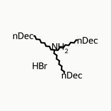 Br.CCCCCCCCCCCCCCCCCCC(N)(CCCCCCCCCCCCCCCCCC)CCCCCCCCCCCCCCCCCC